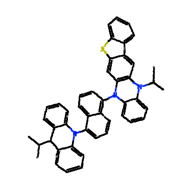 CC(C)C1c2ccccc2N(c2cccc3c(N4c5ccccc5N(C(C)C)c5cc6c(cc54)sc4ccccc46)cccc23)c2ccccc21